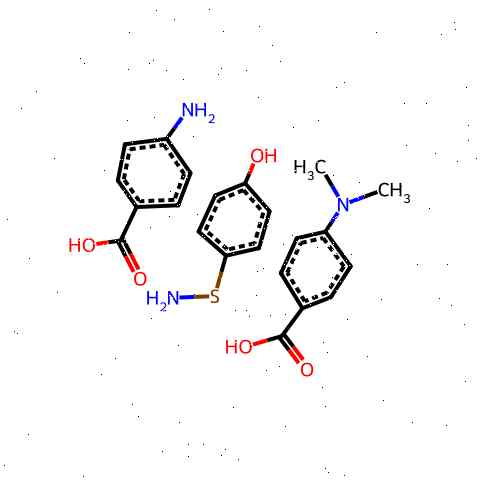 CN(C)c1ccc(C(=O)O)cc1.NSc1ccc(O)cc1.Nc1ccc(C(=O)O)cc1